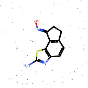 Nc1nc2ccc3c(c2s1)C(=NO)CC3